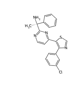 C[C@](N)(c1ccccc1)c1nccc(-c2scnc2-c2cccc(Cl)c2)n1